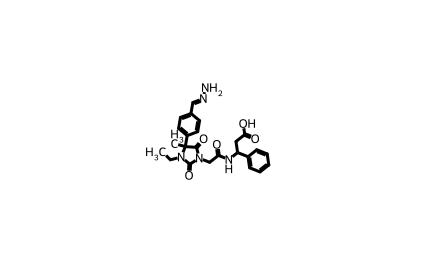 CCN1C(=O)N(CC(=O)NC(CC(=O)O)c2ccccc2)C(=O)C1(C)c1ccc(C=NN)cc1